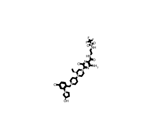 CC[C@H]1CN(c2nc(N)c(C(=O)NCCNS(=O)(=O)C(F)(F)F)nc2Cl)CCN1C1CCN(Cc2ccc(Cl)cc2N2CC[C@@H](O)C2)CC1